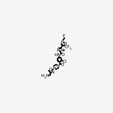 Cn1c(-c2cn(CCF)nc2C(F)(F)F)cnc1C(=O)Nc1ccc(C(=O)N2CCN(C3=NC(CN)CO3)CC2)c(Cl)c1